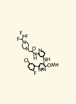 COc1nnc(-c2cc(Cl)ccc2F)cc1Nc1ccnc(NC(=O)CN2CCN(C(F)C(F)F)CC2)c1